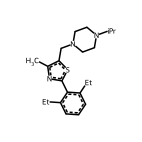 CCc1cccc(CC)c1-c1nc(C)c(CN2CCN(C(C)C)CC2)s1